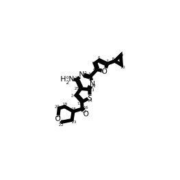 Nc1nc(-c2ccc(C3CC3)o2)nc2sc(C(=O)C3CCOCC3)cc12